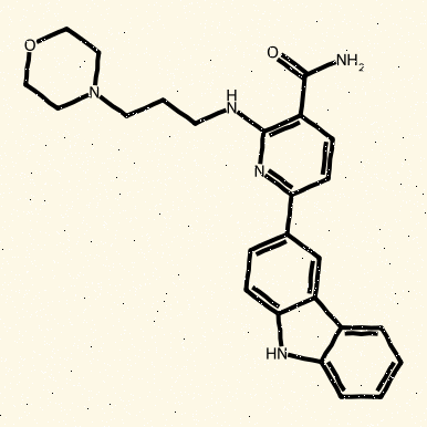 NC(=O)c1ccc(-c2ccc3[nH]c4ccccc4c3c2)nc1NCCCN1CCOCC1